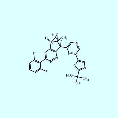 CC(C)(O)c1ncc(-c2cncc([C@@]34CC[C@@H](c5cc(-c6c(F)cccc6F)nnc53)C4(C)C)n2)o1